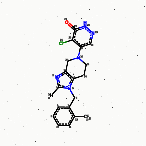 [2H]c1nc2c(n1Cc1ccccc1C(F)(F)F)CCN(c1cn[nH]c(=O)c1Cl)C2